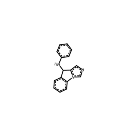 c1ccc(NC2c3ccccc3-n3cncc32)cc1